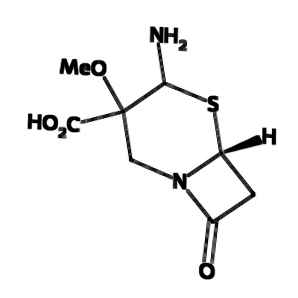 COC1(C(=O)O)CN2C(=O)C[C@H]2SC1N